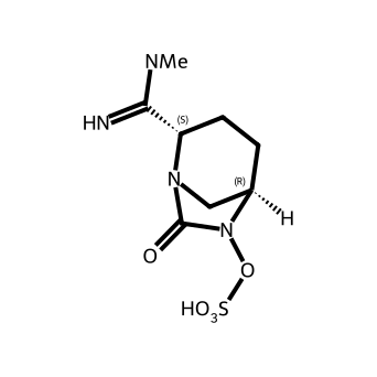 CNC(=N)[C@@H]1CC[C@@H]2CN1C(=O)N2OS(=O)(=O)O